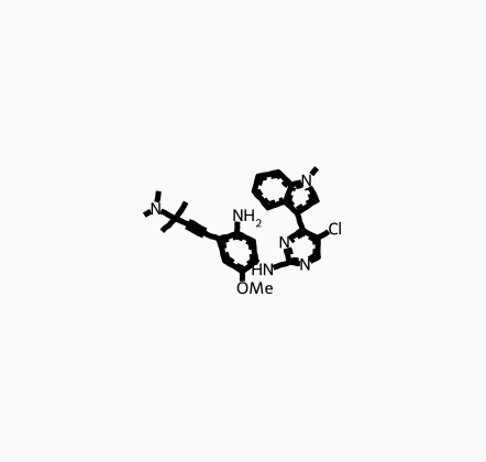 COc1cc(C#CC(C)(C)N(C)C)c(N)cc1Nc1ncc(Cl)c(-c2cn(C)c3ccccc23)n1